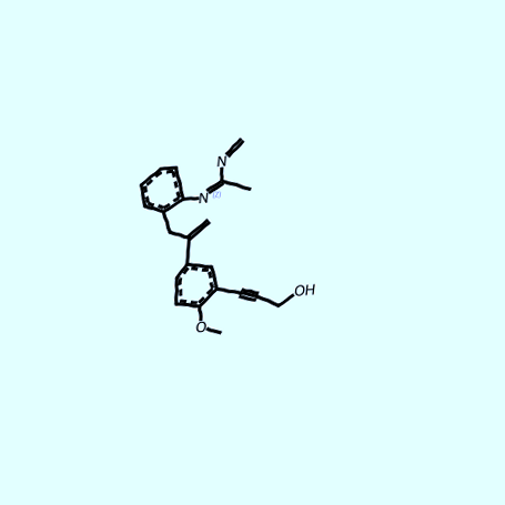 C=N/C(C)=N\c1ccccc1CC(=C)c1ccc(OC)c(C#CCO)c1